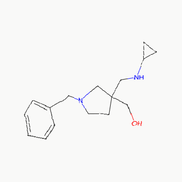 OCC1(CNC2CC2)CCN(Cc2ccccc2)C1